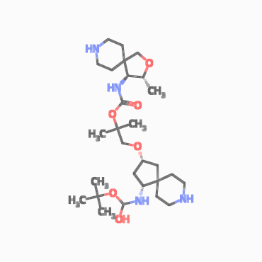 C[C@H]1OCC2(CCNCC2)[C@@H]1NC(=O)OC(C)(C)CO[C@H]1C[C@@H](NC(O)OC(C)(C)C)C2(CCNCC2)C1